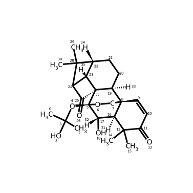 CC(C)(O)O[C@@]12OC[C@]3(C=CC(=O)C(C)(C)[C@H]3[C@@H]1O)[C@@H]1CC[C@@H]3[C@H]4C(C(=O)[C@]412)C3(C)C